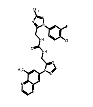 Cc1nc(CNC(=O)NCc2ncnn2-c2cc(C)c3nccnc3c2)n(-c2ccc(Cl)c(F)c2)n1